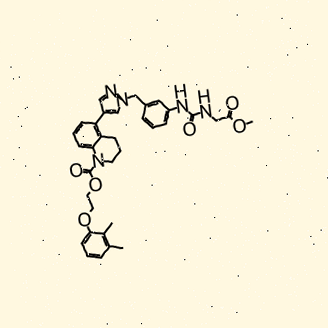 COC(=O)CNC(=O)Nc1cccc(Cn2cc(-c3cccc4c3CCCN4C(=O)OCCOc3cccc(C)c3C)cn2)c1